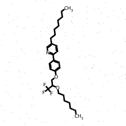 CCCCCCCCc1ccc(-c2ccc(OCC(OCCCCCCC)C(F)(F)F)cc2)nc1